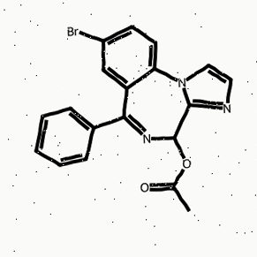 CC(=O)OC1N=C(c2ccccc2)c2cc(Br)ccc2-n2ccnc21